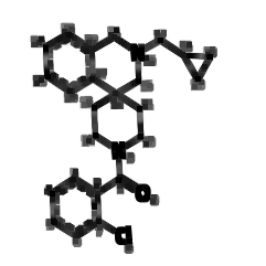 O=C(c1ccccc1Cl)N1CCC2(CC1)CN(CC1CC1)Cc1ccccc12